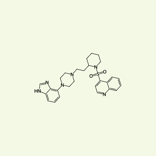 O=S(=O)(c1ccnc2ccccc12)N1CCCCC1CCN1CCN(c2cccc3[nH]cnc23)CC1